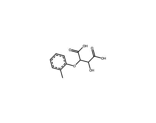 Cc1ccccc1OC(C(=O)O)C(O)C(=O)O